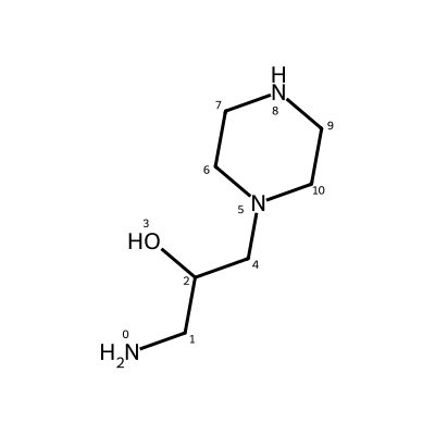 NCC(O)CN1CCNCC1